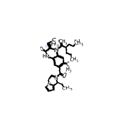 C=C(C(CCC)CCC)N1/C(=C\C)C(=O)Nc2cc(C(=O)N3CCn4cccc4C3CC)c(C)cc21